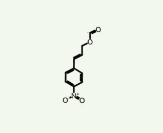 O=[C]OC/C=C/c1ccc([N+](=O)[O-])cc1